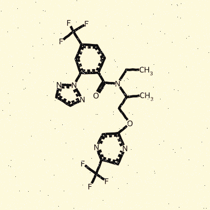 CCN(C(=O)c1ccc(C(F)(F)F)cc1-n1nccn1)C(C)COc1cnc(C(F)(F)F)cn1